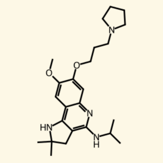 COc1cc2c3c(c(NC(C)C)nc2cc1OCCCN1CCCC1)CC(C)(C)N3